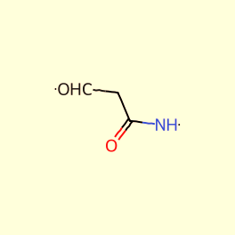 [NH]C(=O)C[C]=O